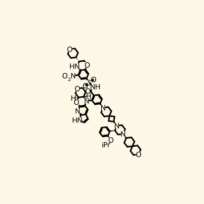 CC(C)Oc1ccccc1[C@@H]1CN(C2CCC3(CCOCC3)CC2)CCN1C1CC2(CCN(c3ccc(C(=O)NS(=O)(=O)c4cc5c(c([N+](=O)[O-])c4)N[C@H](C4CCOCC4)CO5)c(N4c5cc6cc[nH]c6nc5O[C@H]5COCC[C@@H]54)c3)CC2)C1